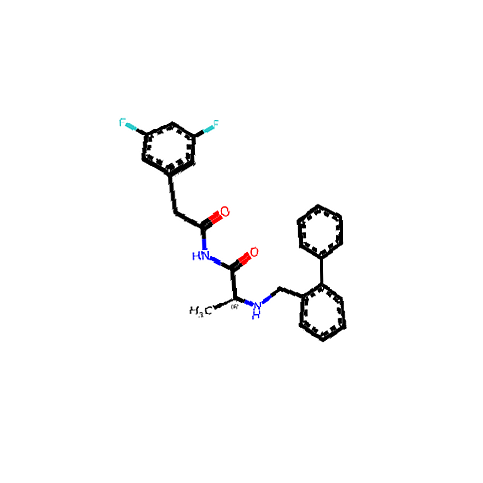 C[C@H](NCc1ccccc1-c1ccccc1)C(=O)NC(=O)Cc1cc(F)cc(F)c1